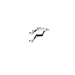 CC=CCCCC.NC(=O)O